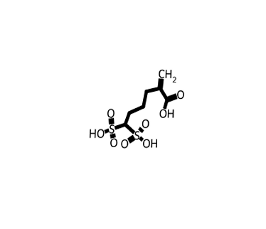 C=C(CCCC(S(=O)(=O)O)S(=O)(=O)O)C(=O)O